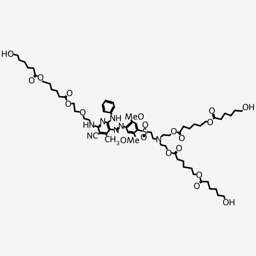 COc1cc(S(=O)(=O)CCN(CCOC(=O)CCCCCOC(=O)CCCCCO)CCOC(=O)CCCCCOC(=O)CCCCCO)c(OC)cc1/N=N/c1c(Nc2ccccc2)nc(NCCOCCOC(=O)CCCCCOC(=O)CCCCCO)c(C#N)c1C